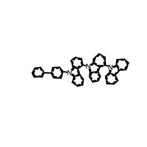 c1ccc(-c2ccc(-n3c4ccccc4c4c(-n5c6ccccc6c6c(-n7c8ccccc8c8ccccc87)cccc65)cccc43)cc2)cc1